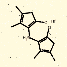 CC1=C(C)C([SiH2]C2=C(Cl)CC(C)=C2C)=C(Cl)C1.[Hf]